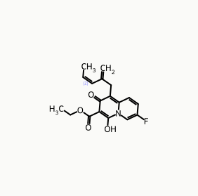 C=C(/C=C\C)Cc1c(=O)c(C(=O)OCC)c(O)n2cc(F)ccc12